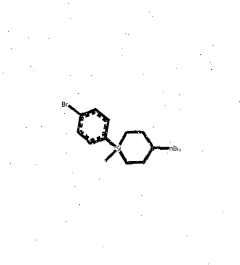 CCCCC1CC[Si](C)(c2ccc(Br)cc2)CC1